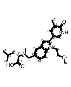 COCCn1c(-c2c[nH]c(=O)c(C)c2)cc2cc(CN[C@@H](CC(C)C)C(=O)O)ccc21